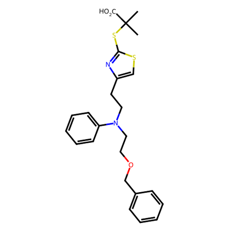 CC(C)(Sc1nc(CCN(CCOCc2ccccc2)c2ccccc2)cs1)C(=O)O